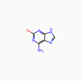 Nc1nc([O])nc2[nH]cnc12